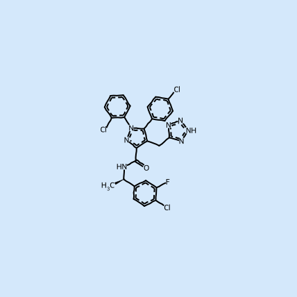 C[C@@H](NC(=O)c1nn(-c2ccccc2Cl)c(-c2ccc(Cl)cc2)c1Cc1nn[nH]n1)c1ccc(Cl)c(F)c1